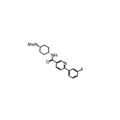 CN[C@H]1CC[C@H](NC(=O)c2ccc(-c3cccc(F)c3)nc2)CC1